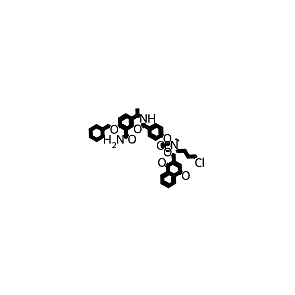 CC(NC(=O)c1ccc(OP(=O)(OCC2=CC(=O)c3ccccc3C2=O)N(C)CCCCCl)cc1)c1ccc(OCC2CCCCC2)c(C(N)=O)c1